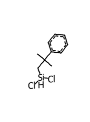 CC(C)(C[SiH](Cl)Cl)c1ccccc1